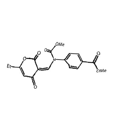 CCC1=CC(=O)C(=CN(C(=O)OC)c2ccc(C(=O)OC)cc2)C(=O)O1